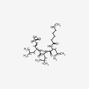 CNCCCCC(=O)N[C@@H](CC(C)C)C(=O)N[C@@H](CC(C)C)C(=O)N[C@H](/C=C/S(C)(=O)=O)CC(C)C